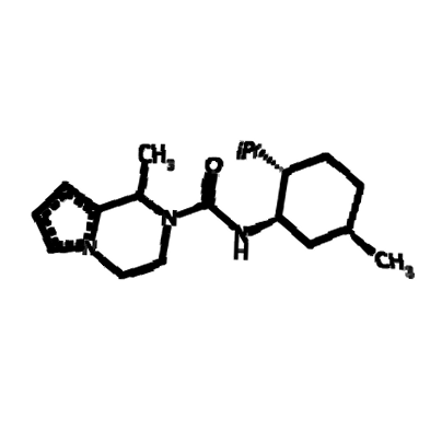 CC(C)[C@@H]1CC[C@@H](C)C[C@H]1NC(=O)N1CCn2cccc2C1C